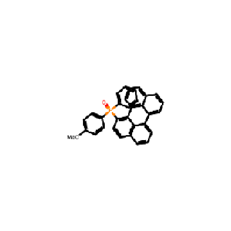 COc1ccc(P(=O)(c2ccccc2)c2ccc3cccc4c5cccc6cccc(c2c34)c65)cc1